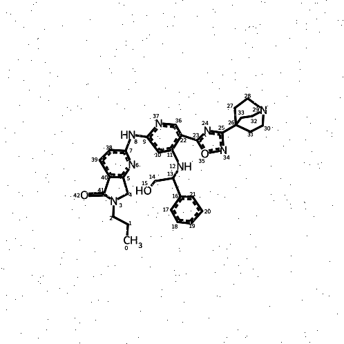 CCCN1Cc2nc(Nc3cc(NC(CO)c4ccccc4)c(-c4nc(C56CCN(CC5)CC6)no4)cn3)ccc2C1=O